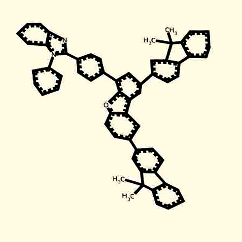 CC1(C)c2ccccc2-c2ccc(-c3ccc4oc5c(-c6ccc(-c7nc8ccccc8n7-c7ccccc7)cc6)cc(-c6ccc7c(c6)C(C)(C)c6ccccc6-7)cc5c4c3)cc21